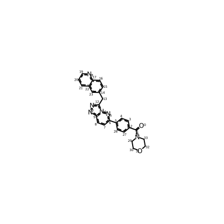 O=C(c1ccc(-c2ccc3nnc(Cc4ccc5ncccc5c4)n3n2)cc1)N1CCOCC1